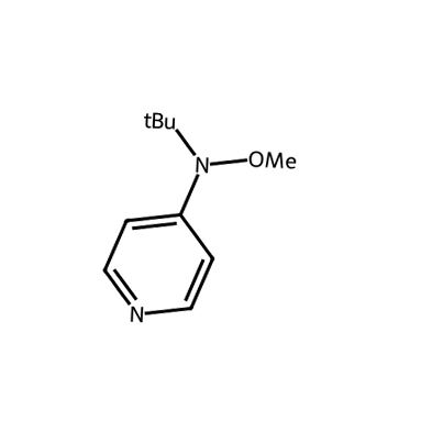 CON(c1ccncc1)C(C)(C)C